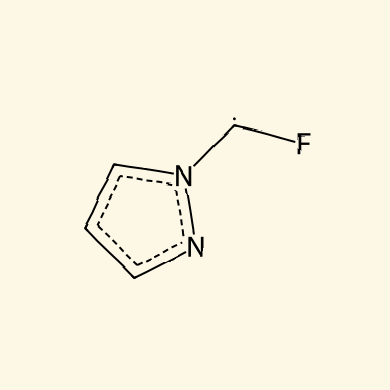 F[CH]n1cccn1